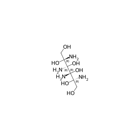 N[C@](O)([C@](N)(O)[C@](N)(O)CO)[C@](N)(O)CO